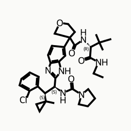 CCNC(=O)[C@H](NC(=O)C1(c2ccc3nc([C@@H](NC(=O)N4CCCC4)[C@H](c4ccccc4Cl)C4(C)CC4)[nH]c3c2)CCOC1)C(C)(C)C